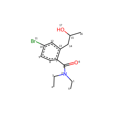 CCN(CC)C(=O)c1ccc(Br)cc1CC(C)O